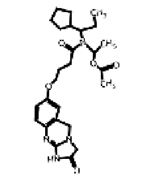 CCC(C1CCCC1)N(C(=O)CCCOc1ccc2c(c1)CN1CC(=O)NC1=N2)C(C)OC(C)=O